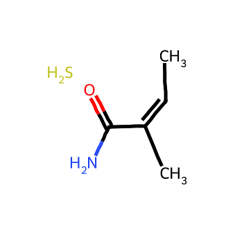 CC=C(C)C(N)=O.S